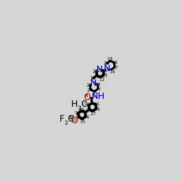 Cc1c(C(=O)NC2CCN(Cc3ccc(N4CCCCC4)nc3)CC2)cccc1-c1ccc(OC(F)(F)F)cc1